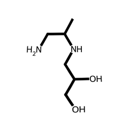 CC(CN)NCC(O)CO